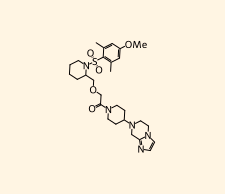 COc1cc(C)c(S(=O)(=O)N2CCCCC2COCC(=O)N2CCC(N3CCn4ccnc4C3)CC2)c(C)c1